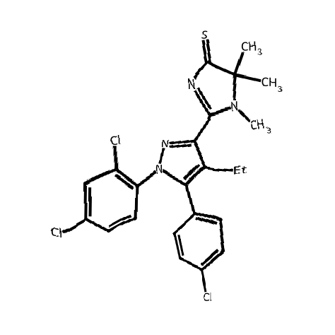 CCc1c(C2=NC(=S)C(C)(C)N2C)nn(-c2ccc(Cl)cc2Cl)c1-c1ccc(Cl)cc1